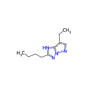 CCCCc1nn2ncc(CC)c2[nH]1